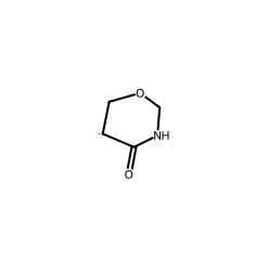 O=C1[CH]COCN1